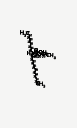 CCCCCCCCCCCCC(CCCCCCCCCCC)CC(C)(CCCCC)C(=O)O